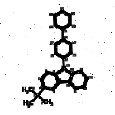 CC(C)(C)c1ccc2c(c1)c1ccccc1n2-c1ccc(-c2ccccc2)cc1